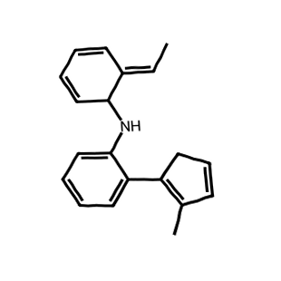 CC=C1C=CC=CC1Nc1ccccc1C1=C(C)C=CC1